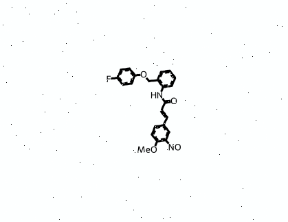 COc1ccc(/C=C/C(=O)Nc2ccccc2COc2ccc(F)cc2)cc1N=O